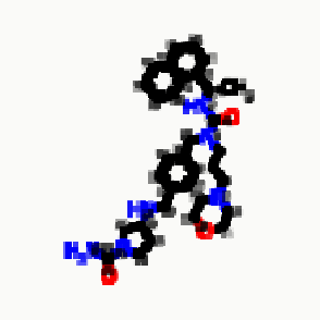 C[C@H](NC(=O)N(CCCN1CCOCC1)Cc1ccc(CN[C@H]2CCN(C(N)=O)C2)cc1)c1cccc2ccccc12